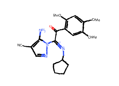 COc1cc(OC)c(C(=O)/C(=N/C2CCCC2)n2ncc(C#N)c2N)cc1OC